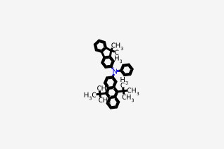 CC(C)(C)c1c2ccccc2c(C(C)(C)C)c2cc(N(c3ccccc3)c3ccc4c(c3)C(C)(C)c3ccccc3-4)ccc12